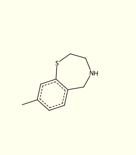 Cc1ccc2c(c1)SCCNC2